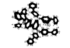 c1ccc(-c2ccc(N(c3ccc(-c4ccccc4)cc3)c3cc(-c4ccc5c(c4)c4c6ccccc6c6ccccc6c4n5-c4ccccc4)cc(N(c4ccc(-c5ccccc5)cc4)c4ccc(-c5ccccc5)cc4)c3)cc2)cc1